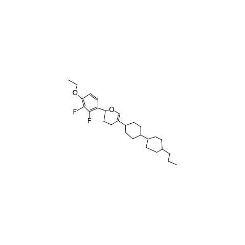 CCCC1CCC(C2CCC(C3=COC(c4ccc(OCC)c(F)c4F)CC3)CC2)CC1